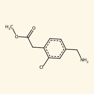 COC(=O)Cc1ccc(CN)cc1Cl